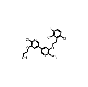 Nc1ncc(-c2cnc(Cl)c(OCCO)c2)cc1OCCc1c(Cl)ccc(F)c1Cl